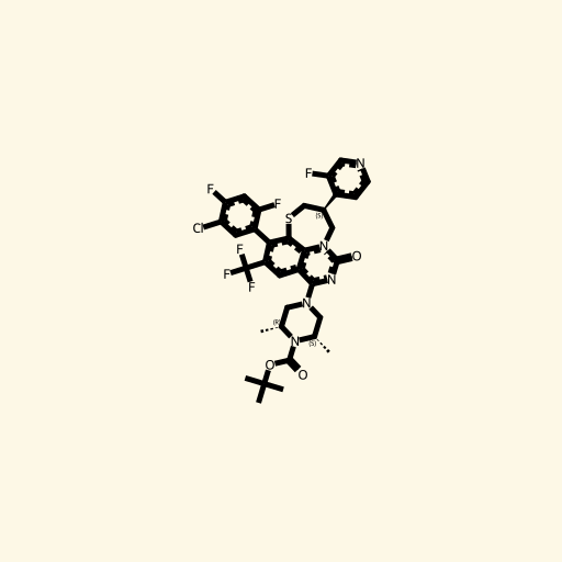 C[C@@H]1CN(c2nc(=O)n3c4c(c(-c5cc(Cl)c(F)cc5F)c(C(F)(F)F)cc24)SC[C@@H](c2ccncc2F)C3)C[C@H](C)N1C(=O)OC(C)(C)C